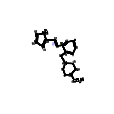 O=C(O)N1CCN(Cc2ccccc2/C=C/c2nnn[nH]2)CC1